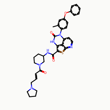 Cc1cc(Oc2ccccc2)ccc1N1C(=O)Nc2c(C(=O)NC3CCCN(C(=O)C=CCN4CCCC4)C3)sc3nccc1c23